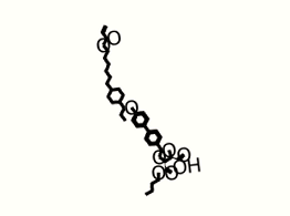 C=CC(=O)OCCCCCCC1CCC(C(CC)Oc2ccc(-c3ccc(C4O[C@@H](C(=O)O)[C@H](C(=O)OCCCC)O4)cc3)cc2)CC1